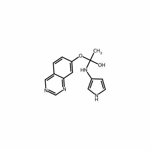 CC(O)(Nc1cc[nH]c1)Oc1ccc2cncnc2c1